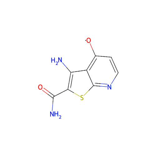 NC(=O)c1sc2nccc([O])c2c1N